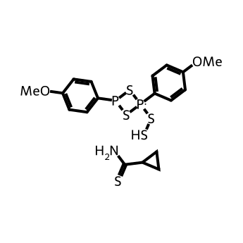 COc1ccc(P2S[P](SS)(c3ccc(OC)cc3)S2)cc1.NC(=S)C1CC1